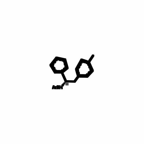 CC(=O)N[C@@H](Cc1ccc(C)cc1)c1ccccc1